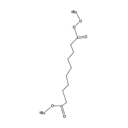 CC(C)(C)OOC(=O)CCCCCCCCC(=O)OC(C)(C)C